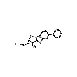 C=CC1C2Sc3c(sc4cc(-c5ccccc5)ccc34)[C@]12CCC